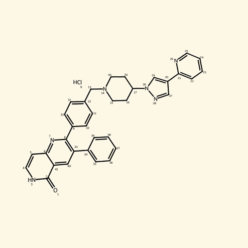 Cl.O=c1[nH]ccc2nc(-c3ccc(CN4CCC(n5cc(-c6ccccn6)cn5)CC4)cc3)c(-c3ccccc3)cc12